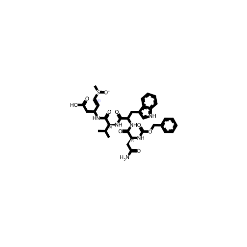 CC(C)[C@H](NC(=O)C(Cc1c[nH]c2ccccc12)NC(=O)[C@H](CC(N)=O)NC(=O)OCc1ccccc1)C(=O)NC(/C=C/[S+](C)[O-])CC(=O)O